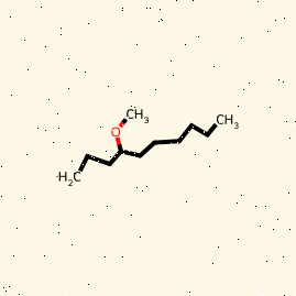 [CH2]CCC(CCCCCC)OC